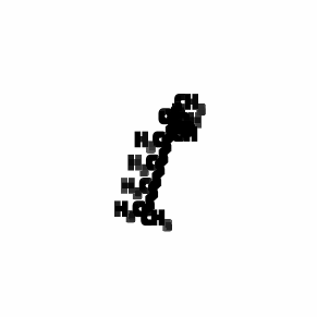 CCOC(=O)C(C/C=C(\C)CC/C=C(\C)CC/C=C(\C)CCC=C(C)C)P(=O)(O)O